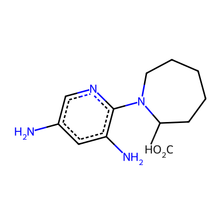 Nc1cnc(N2CCCCCC2C(=O)O)c(N)c1